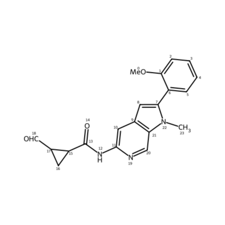 COc1ccccc1-c1cc2cc(NC(=O)C3CC3C=O)ncc2n1C